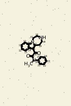 CN(C(=O)C(=O)c1c2n(c3ccccc13)CCNCC2)c1ccccc1